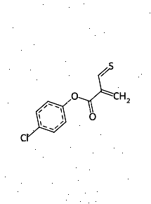 C=C(C=S)C(=O)Oc1ccc(Cl)cc1